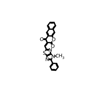 Cn1c(-c2ccccc2)nc2sc(/C=C3\C(=O)Oc4cc5ccccc5cc4C3=O)nc21